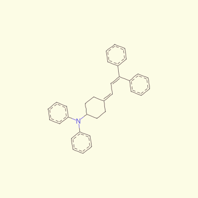 C(C=C(c1ccccc1)c1ccccc1)=C1CCC(N(c2ccccc2)c2ccccc2)CC1